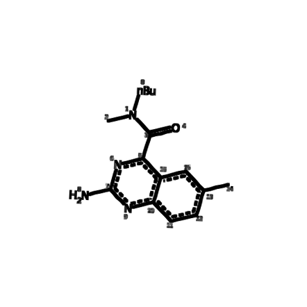 CCCCN(C)C(=O)c1nc(N)nc2ccc(C)cc12